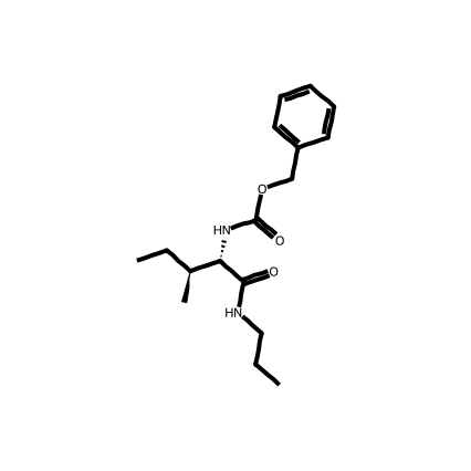 CCCNC(=O)[C@@H](NC(=O)OCc1ccccc1)[C@@H](C)CC